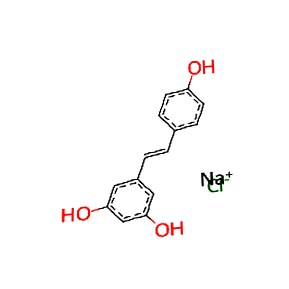 Oc1ccc(C=Cc2cc(O)cc(O)c2)cc1.[Cl-].[Na+]